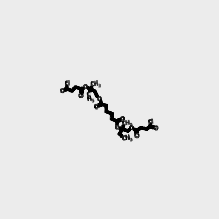 CCC(C)(COC(=O)CCC(=O)Cl)OC(=O)CCCCC(=O)OCCC(C)(C)OC(=O)CCC(=O)Cl